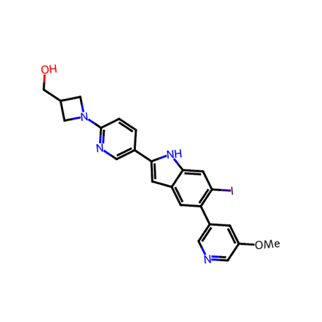 COc1cncc(-c2cc3cc(-c4ccc(N5CC(CO)C5)nc4)[nH]c3cc2I)c1